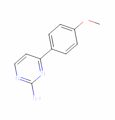 COc1ccc(-c2ccnc(N)n2)cc1